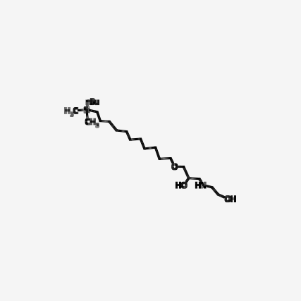 CCCC[Si](C)(C)CCCCCCCCCCCOCC(O)CNCCO